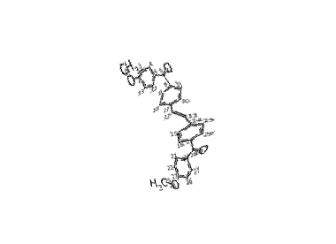 COc1ccc(C(=O)c2ccc(/C=C/c3ccc(C(=O)c4ccc(OC)cc4)cc3)cc2)cc1